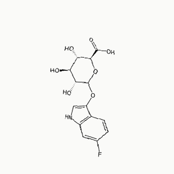 O=C(O)[C@H]1OC(Oc2c[nH]c3cc(F)ccc23)[C@H](O)[C@@H](O)[C@@H]1O